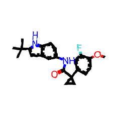 COc1ccc(C2(C(=O)Nc3ccc4[nH]c(C(C)(C)C)cc4c3)CC2)cc1F